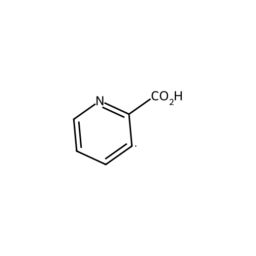 O=C(O)c1[c]cccn1